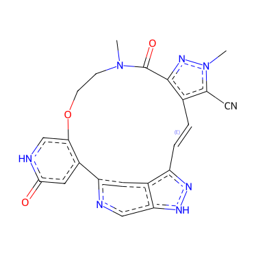 CN1CCOc2c[nH]c(=O)cc2-c2cc3c(n[nH]c3cn2)/C=C/c2c(nn(C)c2C#N)C1=O